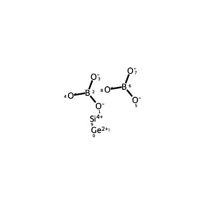 [Ge+2].[O-]B([O-])[O-].[O-]B([O-])[O-].[Si+4]